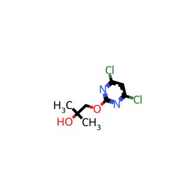 CC(C)(O)COc1nc(Cl)cc(Cl)n1